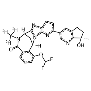 [2H]C([2H])([2H])N1C(=O)c2cccc(OC(F)F)c2[C@H]2C[C@@H]1c1nc3ccc(-c4cnc5c(c4)CC[C@@]5(C)O)nc3n12